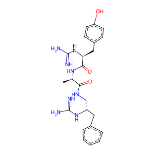 C[C@@H](NC(=O)[C@H](Cc1ccc(O)cc1)NC(=N)N)C(=O)NC[C@H](Cc1ccccc1)NC(=N)N